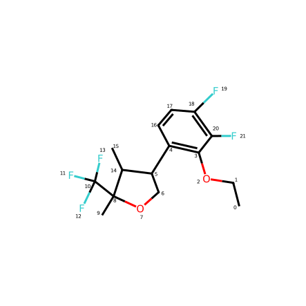 CCOc1c(C2COC(C)(C(F)(F)F)C2C)ccc(F)c1F